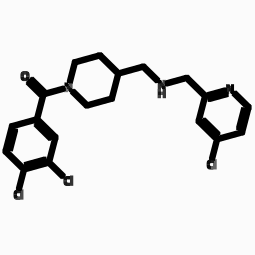 O=C(c1ccc(Cl)c(Cl)c1)N1CCC(CNCc2cc(Cl)ccn2)CC1